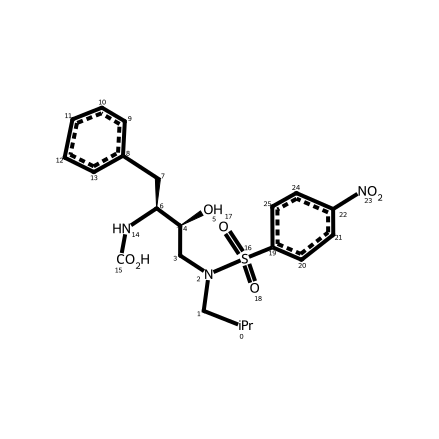 CC(C)CN(C[C@H](O)[C@H](Cc1ccccc1)NC(=O)O)S(=O)(=O)c1ccc([N+](=O)[O-])cc1